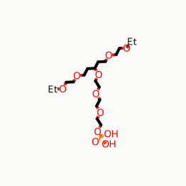 CCOCCOCCC(CCOCCOCC)OCCOCCOCCOP(=O)(O)O